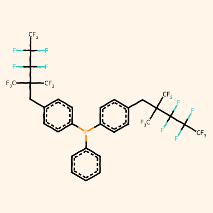 FC(F)(F)C(F)(F)C(F)(F)C(Cc1ccc(P(c2ccccc2)c2ccc(CC(C(F)(F)F)(C(F)(F)F)C(F)(F)C(F)(F)C(F)(F)F)cc2)cc1)(C(F)(F)F)C(F)(F)F